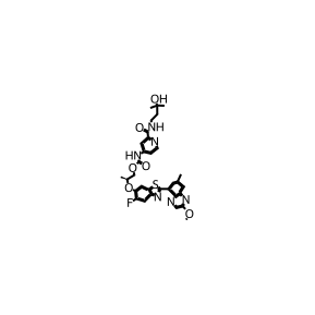 COc1cnc2c(-c3nc4cc(F)c(O[C@@H](C)COC(=O)Nc5ccnc(C(=O)NCCC(C)(C)O)c5)cc4s3)cc(C)cc2n1